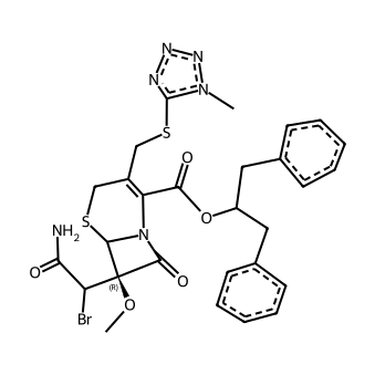 CO[C@]1(C(Br)C(N)=O)C(=O)N2C(C(=O)OC(Cc3ccccc3)Cc3ccccc3)=C(CSc3nnnn3C)CSC21